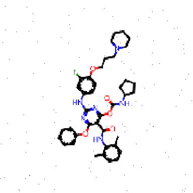 Cc1cccc(C)c1NC(=O)c1c(OC(=O)NC2CCCC2)nc(Nc2ccc(OCCCN3CCCCC3)c(F)c2)nc1Oc1ccccc1